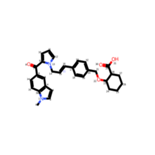 Cn1ccc2cc(C(=O)c3cccn3C/C=C/c3ccc(COC4CCCCC4C(=O)O)cc3)ccc21